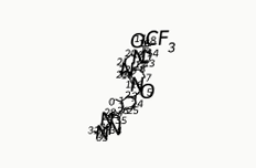 Cc1cc(C(=O)N2CCC3(CC2)c2ccc(C(=O)C(F)(F)F)n2CCN3C)ccc1-c1cnc(N(C)C)nc1